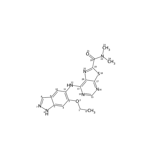 CCOc1cc2[nH]ncc2cc1Nc1ncnc2sc(C(=O)N(C)C)nc12